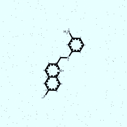 Nc1cccc(SCc2ccc3cc(F)ccc3n2)c1